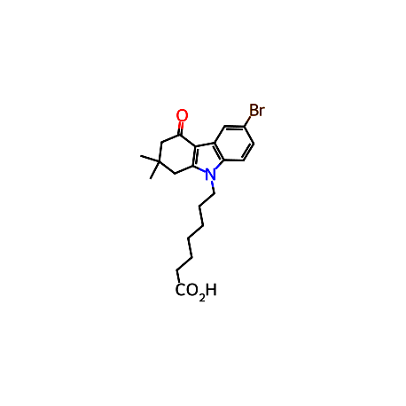 CC1(C)CC(=O)c2c(n(CCCCCCC(=O)O)c3ccc(Br)cc23)C1